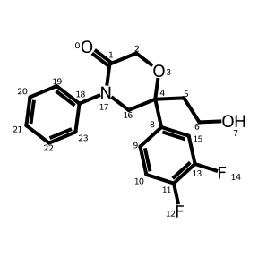 O=C1COC(CCO)(c2ccc(F)c(F)c2)CN1c1ccccc1